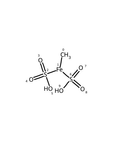 [CH3][Fe]([S](=O)(=O)O)[S](=O)(=O)O